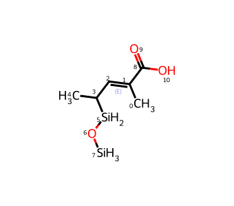 C/C(=C\C(C)[SiH2]O[SiH3])C(=O)O